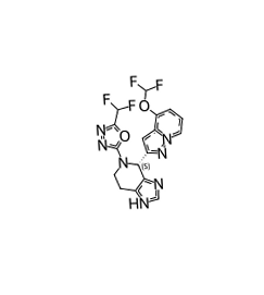 FC(F)Oc1cccn2nc([C@@H]3c4nc[nH]c4CCN3c3nnc(C(F)F)o3)cc12